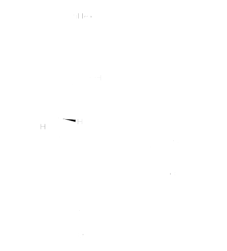 CCCCCCC#C[C@]1(O)CC[C@H]2[C@@H]3CCC4=CC(=O)CCC4=C3[C@@H](c3ccc4c(c3)OCO4)C[C@@]21C